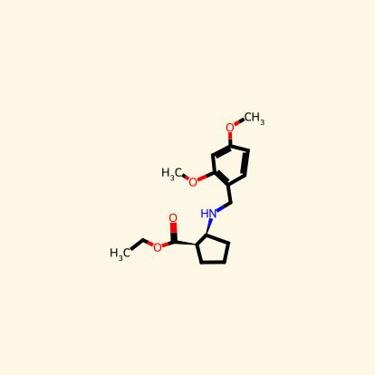 CCOC(=O)[C@@H]1CCC[C@@H]1NCc1ccc(OC)cc1OC